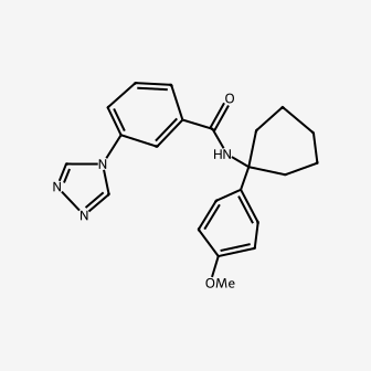 COc1ccc(C2(NC(=O)c3cccc(-n4cnnc4)c3)CCCCC2)cc1